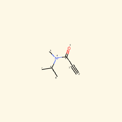 C#CC(=O)N(C)C(C)C